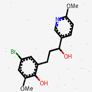 COc1ccc(C(O)CCc2cc(Br)cc(OC)c2O)cn1